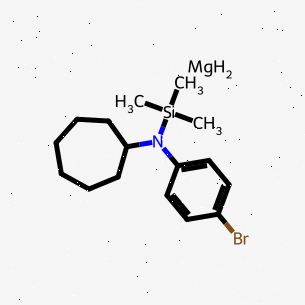 C[Si](C)(C)N(c1ccc(Br)cc1)C1CCCCCC1.[MgH2]